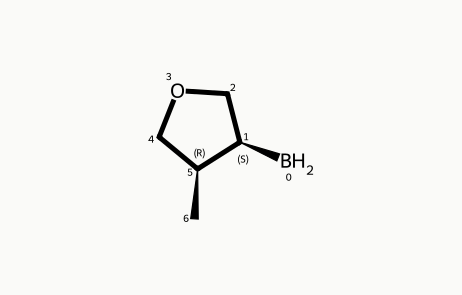 B[C@@H]1COC[C@@H]1C